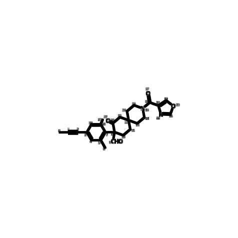 CC#Cc1cc(C)c(C2(C=O)CCC3(CCN(C(=O)c4cocn4)CC3)CC2=O)c(C)c1